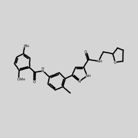 COc1ccc(C(C)(C)C)cc1C(=O)Nc1ccc(C)c(-c2cc(C(=O)NCC3CCCO3)[nH]n2)c1